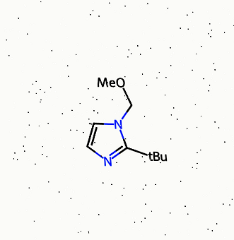 COCn1[c]cnc1C(C)(C)C